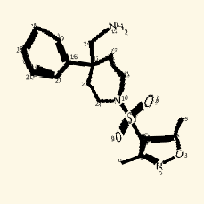 Cc1noc(C)c1S(=O)(=O)N1CCC(CN)(c2ccccc2)CC1